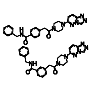 O=C(NCc1ccccc1)c1ccc(CC(=O)N2CCN(c3ccc4nncn4n3)CC2)cc1.O=C(NCc1ccccc1)c1cccc(CC(=O)N2CCN(c3ccc4nncn4n3)CC2)c1